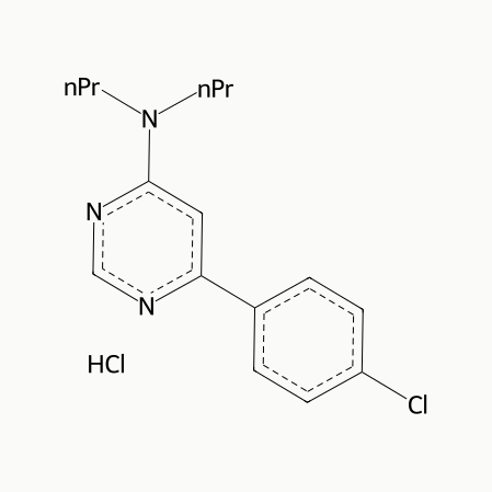 CCCN(CCC)c1cc(-c2ccc(Cl)cc2)ncn1.Cl